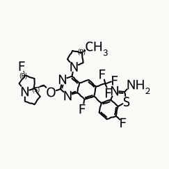 C[C@@H]1CCN(c2nc(OC[C@@]34CCCN3C[C@H](F)C4)nc3c(F)c(-c4ccc(F)c5sc(N)nc45)c(C(F)(F)F)cc23)C1